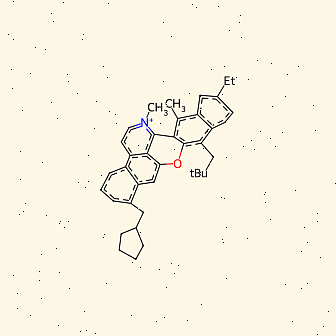 CCc1ccc2c(CC(C)(C)C)c3c(c(C)c2c1)-c1c2c(cc4c(CC5CCCC5)cccc4c2cc[n+]1C)O3